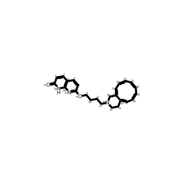 O=c1ccc2ccc(OCCCCN3CCc4ccccccccc4C3)nc2[nH]1